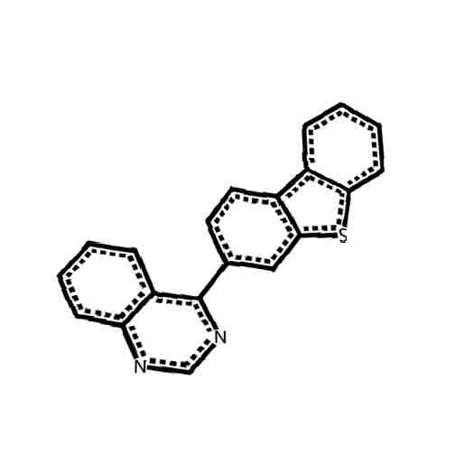 c1ccc2c(-c3ccc4c(c3)sc3ccccc34)ncnc2c1